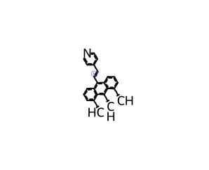 C#Cc1cccc2c(/C=C/c3ccncc3)c3cccc(C#C)c3c(C#C)c12